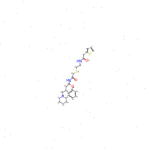 O=C(Cc1cccs1)NCCSCC(=O)NC(CCCN1CCCCC1)Oc1ccccc1